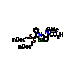 CCCCCCCCCCCCSC(SCCCCCCCCCCCC)c1c(Br)n(Cc2ccccc2C(=NOC)C(=O)O)c2ccccc12